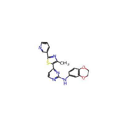 Cc1nc(-c2cccnc2)sc1-c1ccnc(Nc2ccc3c(c2)OCCO3)n1